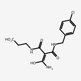 N/C(O)=C(/C(=O)NCCC(=O)O)C(=O)NCc1ccc(Cl)cc1